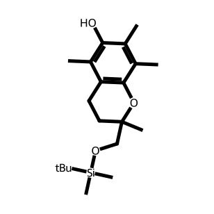 Cc1c(C)c2c(c(C)c1O)CCC(C)(CO[Si](C)(C)C(C)(C)C)O2